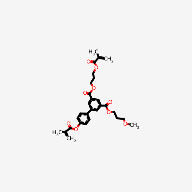 C=C(C)C(=O)OCCCOC(=O)c1cc(C(=O)OCCCOC)cc(-c2ccc(OC(=O)C(=C)C)cc2)c1